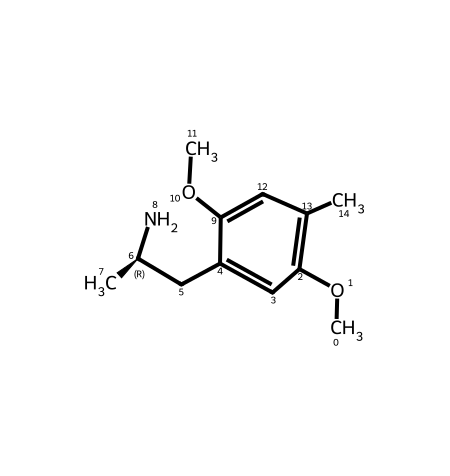 COc1cc(C[C@@H](C)N)c(OC)cc1C